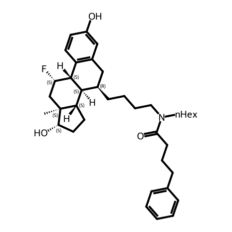 CCCCCCN(CCCC[C@@H]1Cc2cc(O)ccc2[C@@H]2[C@@H]1[C@@H]1CC[C@H](O)[C@@]1(C)C[C@@H]2F)C(=O)CCCc1ccccc1